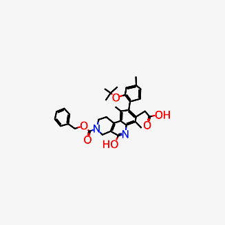 Cc1ccc(-c2c(CC(=O)O)c(C)c3nc(O)c4c(c3c2C)CCN(C(=O)OCc2ccccc2)C4)c(OC(C)(C)C)c1